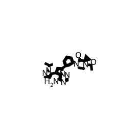 CC(=O)N1CCN(c2cccc(-c3cc(-c4ccnn4C(C)C)c4c(N)ncnn34)c2)C(=O)C12CC2